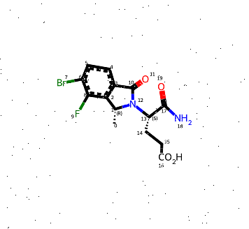 C[C@@H]1c2c(ccc(Br)c2F)C(=O)N1[C@@H](CCC(=O)O)C(N)=O